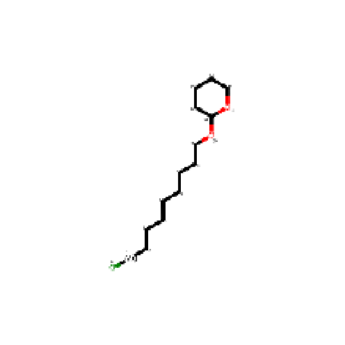 [Cl][Mg][CH2]CCCCCCCOC1CCCCO1